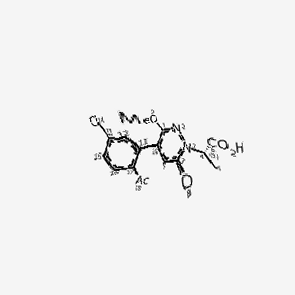 COc1nn([C@@H](C)C(=O)O)c(=O)cc1-c1cc(Cl)ccc1C(C)=O